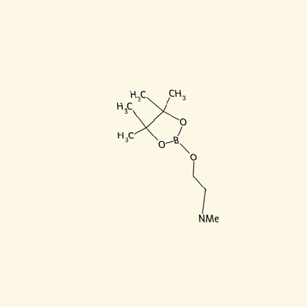 CNCCOB1OC(C)(C)C(C)(C)O1